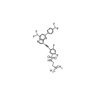 CN(C)CCNS(=O)(=O)c1cc(C#Cc2cnn3c(C(F)F)cc(-c4ccc(C(F)F)cc4)nc23)c(F)cc1F